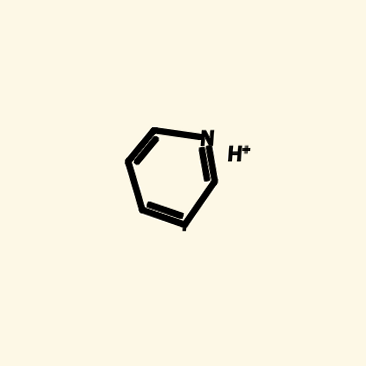 [H+].[c]1cccnc1